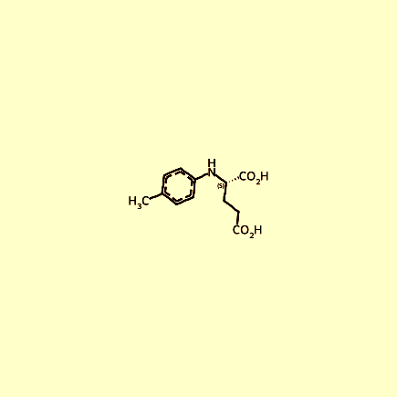 Cc1ccc(N[C@@H](CCC(=O)O)C(=O)O)cc1